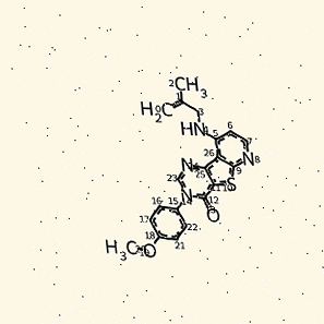 C=C(C)CNc1ccnc2sc3c(=O)n(-c4ccc(OC)cc4)cnc3c12